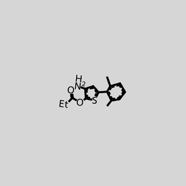 CCC(=O)Oc1sc(-c2c(C)cccc2C)cc1N